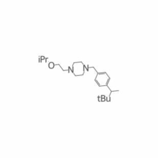 CC(C)OCCN1CCN(Cc2ccc(C(C)C(C)(C)C)cc2)CC1